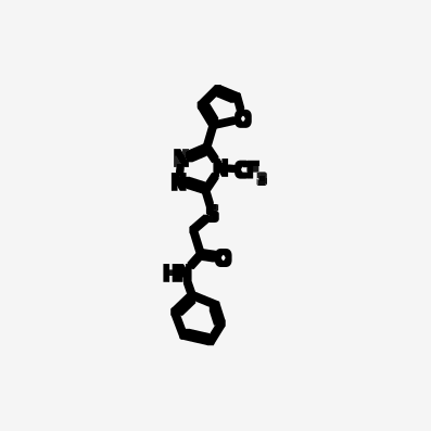 O=C(CSc1nnc(-c2ccco2)n1C(F)(F)F)Nc1ccccc1